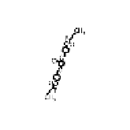 CCCC[C@H](F)C(=O)OC1CCC(COc2ccc(OCC3CCC(OC(=O)[C@@H](F)CCCC)CC3)c(Cl)c2)CC1